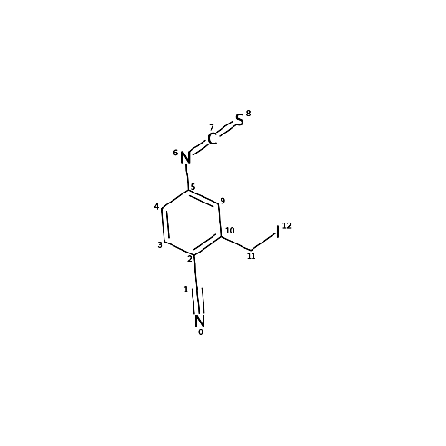 N#Cc1ccc(N=C=S)cc1CI